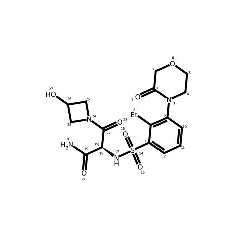 CCc1c(N2CCOCC2=O)cccc1S(=O)(=O)N[C@@H](C(N)=O)C(=O)N1CC(O)C1